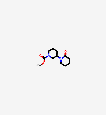 CC(C)(C)OC(=O)N1CCCC(N2CCCCC2=O)C1